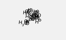 CC(C)CC(NC(=O)C(Cc1ccccc1)NC(=O)C(Cc1ccccc1)NC(=O)O)C(=O)NC(CCCCNC(=O)OC(C)(C)C)C(=O)N1CCC2(CC1)CN(S(C)(=O)=O)C2